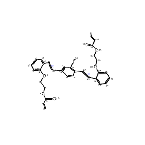 C=CC(=O)OCCOc1ccccc1/C=C/c1ccc(/C=C/c2ccccc2OCCOC(=O)C=C)c(F)c1